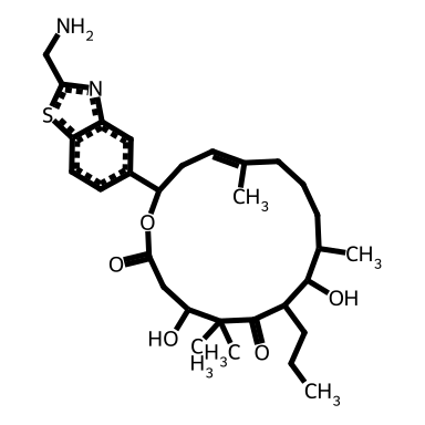 CCCC1C(=O)C(C)(C)C(O)CC(=O)OC(c2ccc3sc(CN)nc3c2)C/C=C(\C)CCCC(C)C1O